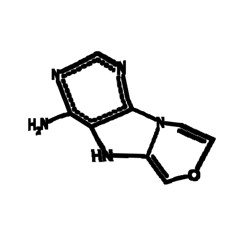 Nc1ncnc2c1NC1=COC=CN12